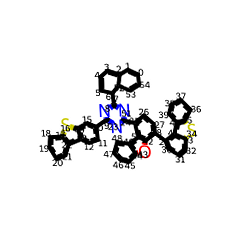 C1=CC2=CC=CC(c3nc(-c4ccc5c(c4)sc4ccccc45)nc(-c4ccc(-c5cccc6sc7ccccc7c56)c5oc6ccccc6c45)n3)C2C=C1